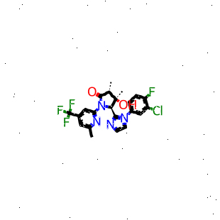 Cc1cc(C(F)(F)F)cc(N2C(=O)[C@H](C)[C@@](C)(O)[C@H]2c2nccn2-c2ccc(F)c(Cl)c2)n1